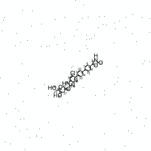 O=c1[nH]cc(-c2ccc(-c3ccc(-c4nc5nc(O[C@H]6CO[C@H](CO)[C@@H](O)C6)[nH]c5cc4Cl)cc3)cc2)o1